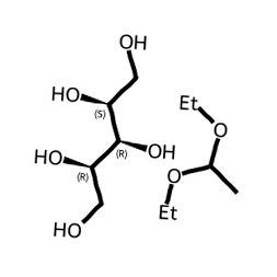 CCOC(C)OCC.OC[C@@H](O)[C@H](O)[C@@H](O)CO